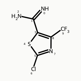 N=C(N)c1sc(Cl)nc1C(F)(F)F